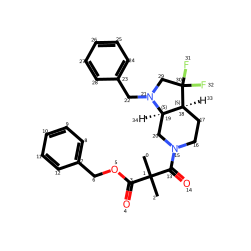 CC(C)(C(=O)OCc1ccccc1)C(=O)N1CC[C@H]2[C@@H](C1)N(Cc1ccccc1)CC2(F)F